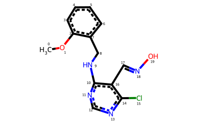 COc1ccccc1CNc1ncnc(Cl)c1/C=N/O